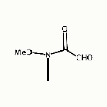 CON(C)C(=O)C=O